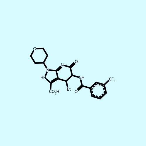 CCC1C2=C(C(=O)O)NN(C3CCOCC3)C2=NC(=O)C1NC(=O)c1cccc(C(F)(F)F)c1